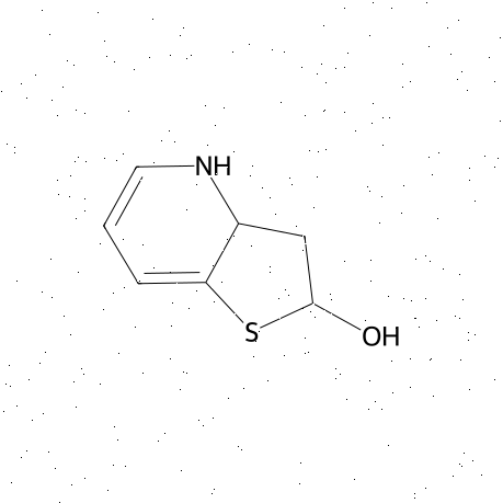 OC1CC2NC=CC=C2S1